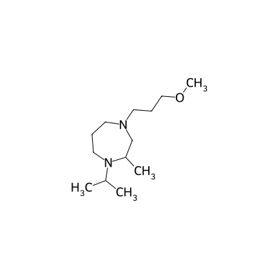 COCCCN1CCCN(C(C)C)C(C)C1